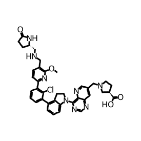 COc1nc(-c2cccc(-c3cccc4c3CCN4c3ncnc4cc(CN5CC[C@@H](C(=O)O)C5)cnc34)c2Cl)ccc1CNC[C@@H]1CCC(=O)N1